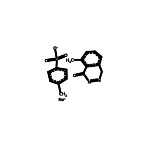 Cc1ccc(S(=O)(=O)[O-])cc1.Cc1cccc2c1C(=O)N=NC2.[Na+]